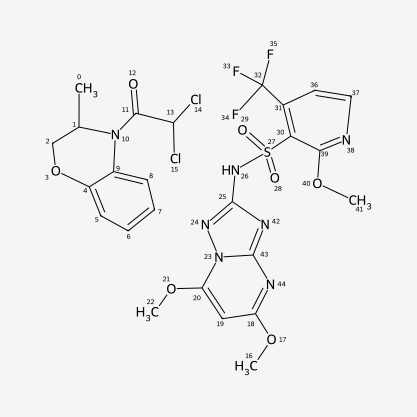 CC1COc2ccccc2N1C(=O)C(Cl)Cl.COc1cc(OC)n2nc(NS(=O)(=O)c3c(C(F)(F)F)ccnc3OC)nc2n1